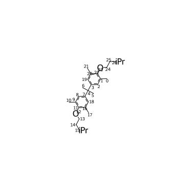 Cc1cc(C(C)(C)c2cc(C)c(OCCC(C)C)c(C)c2)cc(C)c1OCCC(C)C